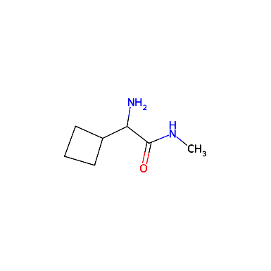 CNC(=O)C(N)C1CCC1